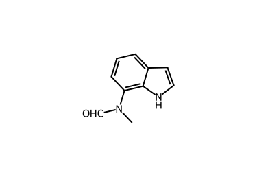 CN(C=O)c1cccc2cc[nH]c12